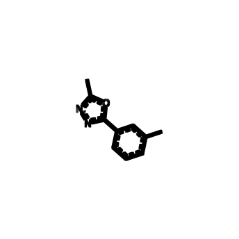 Cc1cccc(-c2nnc(C)o2)c1